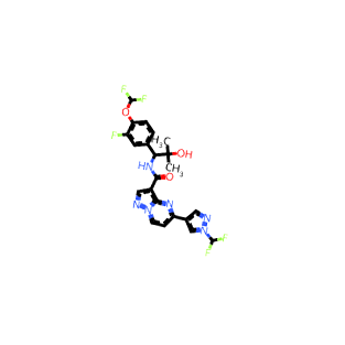 CC(C)(O)C(NC(=O)c1cnn2ccc(-c3cnn(C(F)F)c3)nc12)c1ccc(OC(F)F)c(F)c1